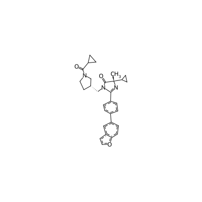 C[C@@]1(C2CC2)N=C(c2ccc(-c3ccc4occc4c3)cc2)N(C[C@@H]2CCN(C(=O)C3CC3)C2)C1=O